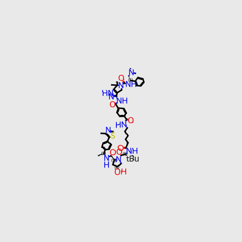 Cc1ncsc1-c1ccc([C@H](C)NC(=O)[C@@H]2C[C@@H](O)CN2C(=O)[C@@H](NC(=O)CCCCCNC(=O)c2ccc(C(=O)Nc3n[nH]c4c3CN(C(=O)N[C@H](CN(C)C)c3ccccc3)C4(C)C)cc2)C(C)(C)C)cc1